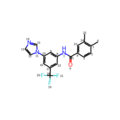 Cc1ccc(C(=O)Nc2cc(-n3ccnc3)cc(C(F)(F)F)c2)cc1C